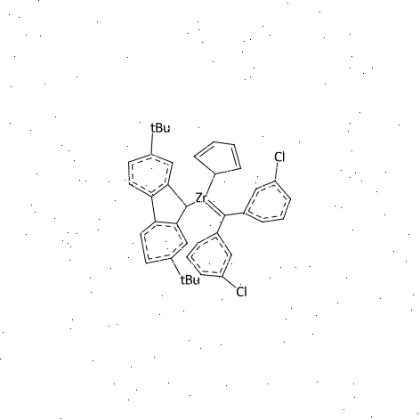 CC(C)(C)c1ccc2c(c1)[CH]([Zr](=[C](c1cccc(Cl)c1)c1cccc(Cl)c1)[CH]1C=CC=C1)c1cc(C(C)(C)C)ccc1-2